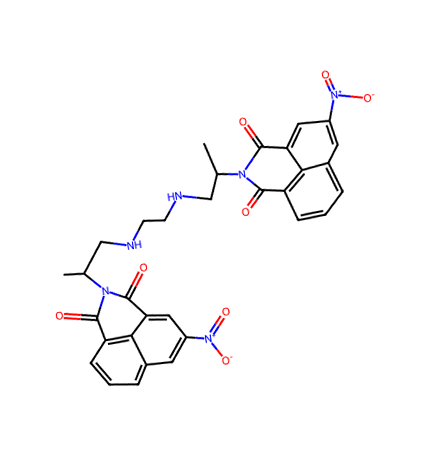 CC(CNCCNCC(C)N1C(=O)c2cccc3cc([N+](=O)[O-])cc(c23)C1=O)N1C(=O)c2cccc3cc([N+](=O)[O-])cc(c23)C1=O